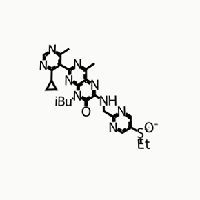 CC[C@H](C)n1c(=O)c(NCc2ncc([S+]([O-])CC)cn2)nc2c(C)nc(-c3c(C)ncnc3C3CC3)nc21